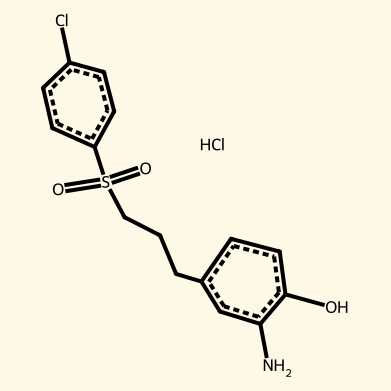 Cl.Nc1cc(CCCS(=O)(=O)c2ccc(Cl)cc2)ccc1O